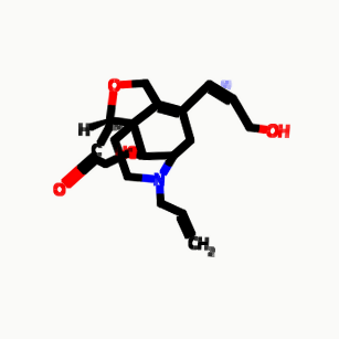 C=CCN1CCC23C4=C(/C=C\CO)CC1C2(O)CCC(=O)CC[C@@H]3OC4